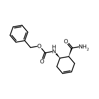 NC(=O)[C@H]1CC=CC[C@H]1NC(=O)OCc1ccccc1